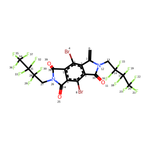 C=C1c2c(Br)c3c(c(Br)c2C(=O)N1CC(F)(F)C(F)(F)C(F)(F)F)C(=O)N(CC(F)(F)C(F)(F)C(F)(F)F)C3=O